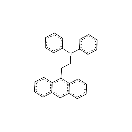 c1ccc(N(CCc2c3ccccc3cc3ccccc23)c2ccccc2)cc1